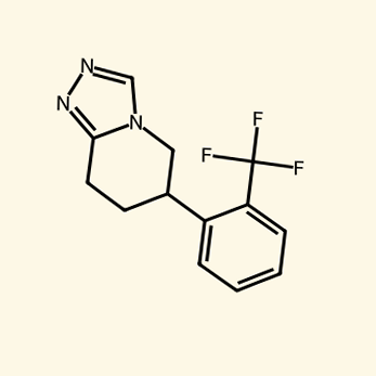 FC(F)(F)c1ccccc1C1CCc2nncn2C1